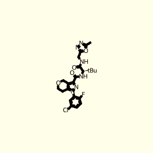 Cc1nnc(CNC(=O)[C@@H](NC(=O)c2nn(-c3cc(Cl)ccc3F)c3c2COCC3)C(C)(C)C)o1